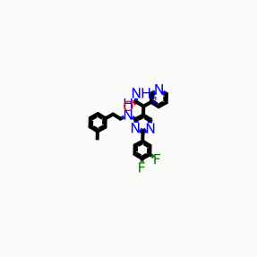 Cc1cccc(CCNc2nc(-c3ccc(F)c(F)c3)ncc2C(C(N)=O)c2cccnc2)c1